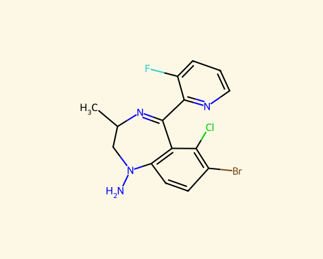 CC1CN(N)c2ccc(Br)c(Cl)c2C(c2ncccc2F)=N1